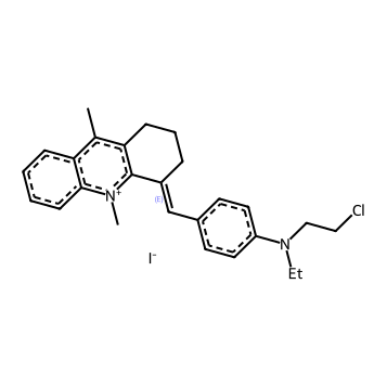 CCN(CCCl)c1ccc(/C=C2\CCCc3c(C)c4ccccc4[n+](C)c32)cc1.[I-]